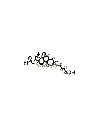 CCC(=O)O[C@H]1COC2C3C(CC[C@@]21C)[C@@]1(C)CC[C@H](OCCCCCO)CC1C[C@@H]3O